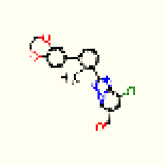 Cc1c(-c2ccc3c(c2)OCCO3)cccc1-c1nc2c(Cl)cc(C=O)cn2n1